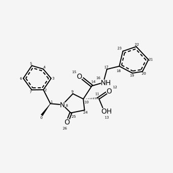 C[C@@H](c1ccccc1)N1C[C@@](C(=O)O)(C(=O)NCc2ccccc2)CC1=O